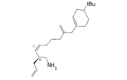 C=CC[C@@H](/C=C\CCCC(=C)CC1=CCC(C(C)(C)C)CC1)CN